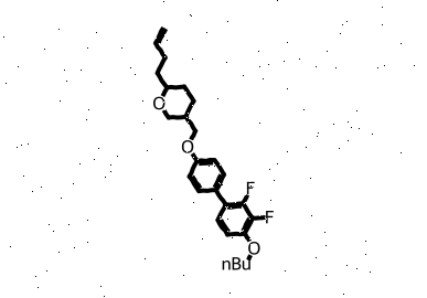 C=CCCC1CCC(COc2ccc(-c3ccc(OCCCC)c(F)c3F)cc2)CO1